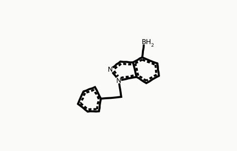 Bc1cccc2c1cnn2Cc1ccccc1